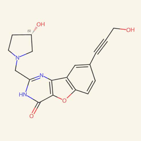 O=c1[nH]c(CN2CC[C@H](O)C2)nc2c1oc1ccc(C#CCO)cc12